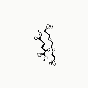 COC(=O)CCC(=O)C(=O)OC.OCCOCCOCCO